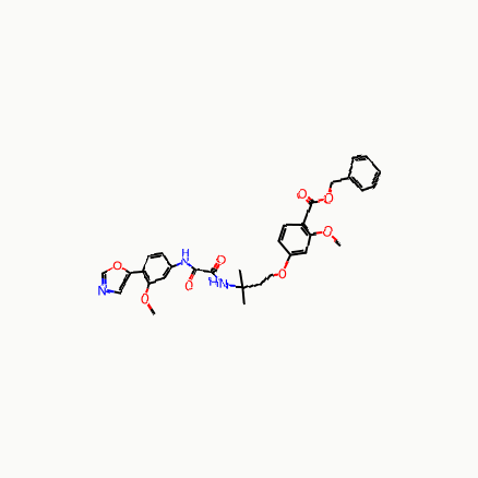 COc1cc(OCCC(C)(C)NC(=O)C(=O)Nc2ccc(-c3cnco3)c(OC)c2)ccc1C(=O)OCc1ccccc1